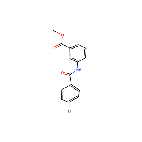 COC(=O)c1cccc(NC(=O)c2ccc(Cl)cc2)c1